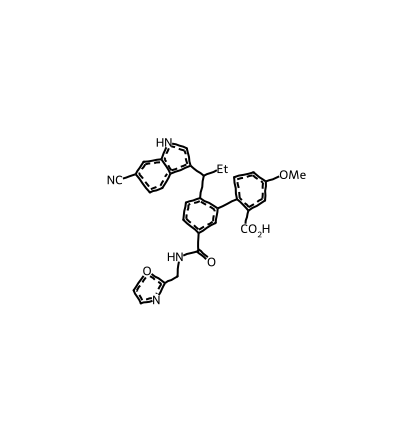 CCC(c1ccc(C(=O)NCc2ncco2)cc1-c1ccc(OC)cc1C(=O)O)c1c[nH]c2cc(C#N)ccc12